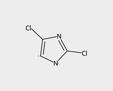 ClC1=[C][N]C(Cl)=N1